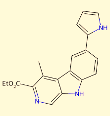 CCOC(=O)c1ncc2[nH]c3ccc(-c4ccc[nH]4)cc3c2c1C